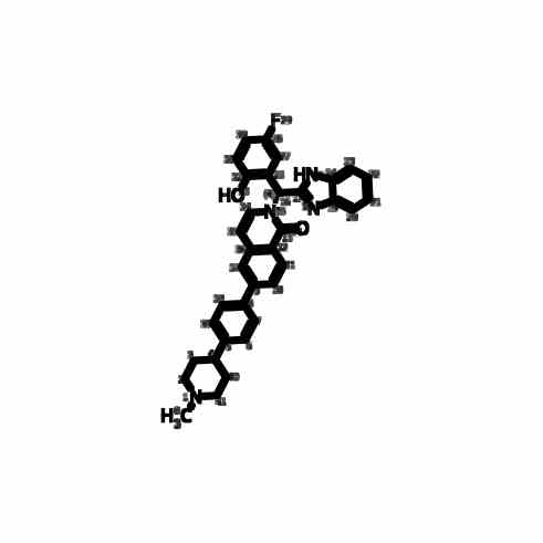 CN1CCC(c2ccc(-c3ccc4c(=O)n([C@@H](c5nc6ccccc6[nH]5)c5cc(F)ccc5O)ccc4c3)cc2)CC1